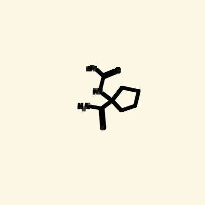 CCCC(=O)NC1(C(N)=O)CCCC1